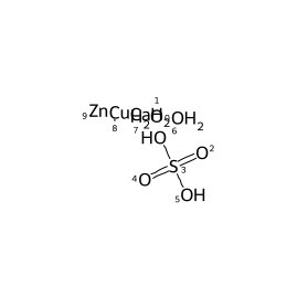 O.O.O=S(=O)(O)O.[CaH2].[Cu].[Zn]